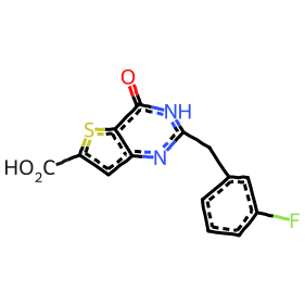 O=C(O)c1cc2nc(Cc3cccc(F)c3)[nH]c(=O)c2s1